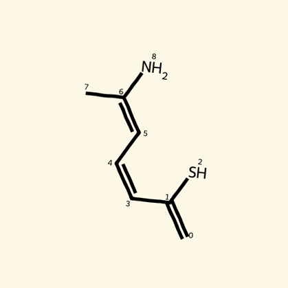 C=C(S)/C=C\C=C(/C)N